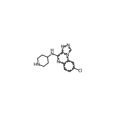 Clc1ccc2nc(NC3CCNCC3)c3nncn3c2c1